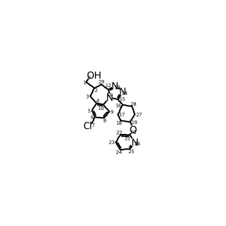 OCC1Cc2cc(Cl)ccc2-n2c(nnc2C2CCC(Oc3ccccn3)CC2)C1